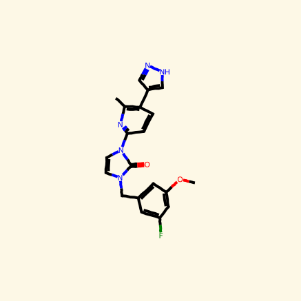 COc1cc(F)cc(Cn2ccn(-c3ccc(-c4cn[nH]c4)c(C)n3)c2=O)c1